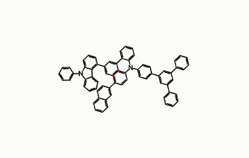 c1ccc(-c2cc(-c3ccccc3)cc(-c3ccc(N(c4ccc(-c5ccc6ccccc6c5)cc4)c4ccccc4-c4cccc(-c5cccc6c5c5ccccc5n6-c5ccccc5)c4)cc3)c2)cc1